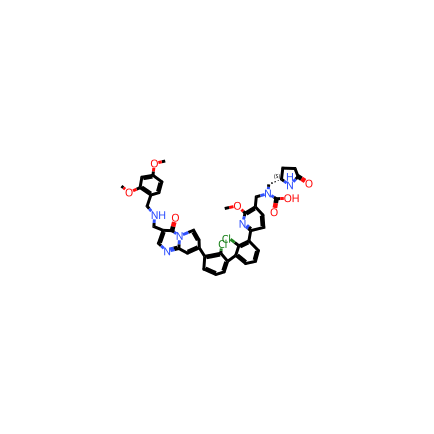 COc1ccc(CNCc2cnc3cc(-c4cccc(-c5cccc(-c6ccc(CN(C[C@@H]7CCC(=O)N7)C(=O)O)c(OC)n6)c5Cl)c4Cl)ccn3c2=O)c(OC)c1